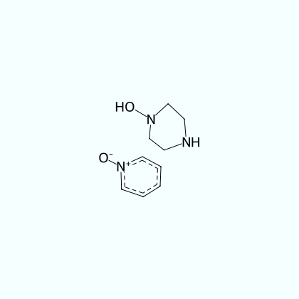 ON1CCNCC1.[O-][n+]1ccccc1